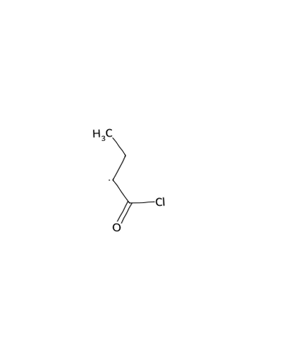 CC[CH]C(=O)Cl